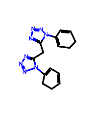 C1=CCCC(n2nnnc2Cc2nnnn2C2=CCCC=C2)=C1